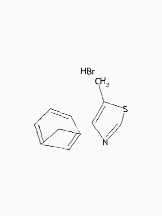 Br.Cc1cncs1.c1cc2cc(c1)C2